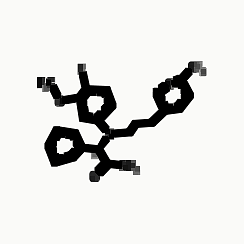 NC(=O)[C@@H](c1ccccc1)N(CCCc1ccc(C(F)(F)F)cc1)c1ccc(F)c(OC(F)(F)F)c1